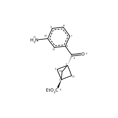 CCOC(=O)[C@]12C[C@@](C(=O)c3cccc(N)c3)(C1)C2